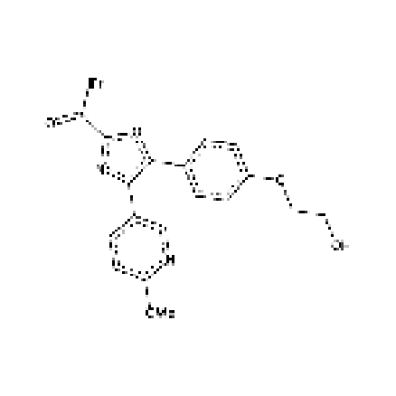 COc1ccc(-c2nc(C(=O)C(C)C)oc2-c2ccc(OCCO)cc2)cn1